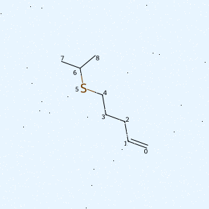 C=CCCCSC(C)C